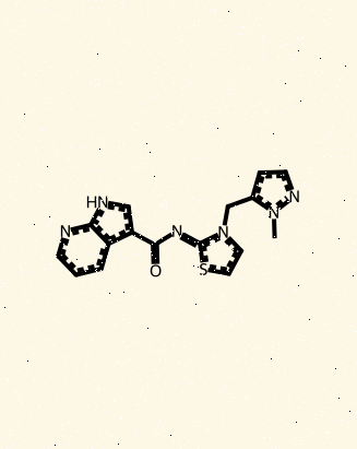 Cn1nccc1Cn1ccs/c1=N\C(=O)c1c[nH]c2ncccc12